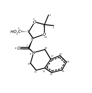 CC1(C)O[C@@H](C(=O)O)[C@H](C(=O)N2CCc3ccccc3C2)O1